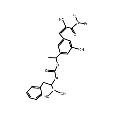 CCN(CC)C(=O)C(C#N)=Cc1cc(C#N)cc(C(C)OC(=O)NC(Cc2ccccc2)B(O)O)c1